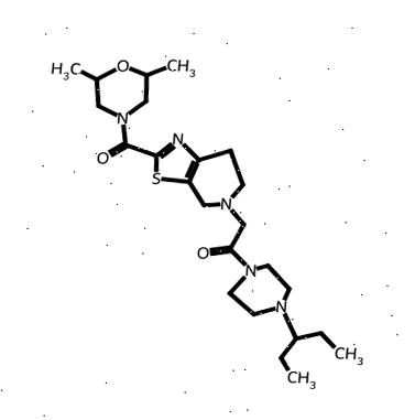 CCC(CC)N1CCN(C(=O)CN2CCc3nc(C(=O)N4CC(C)OC(C)C4)sc3C2)CC1